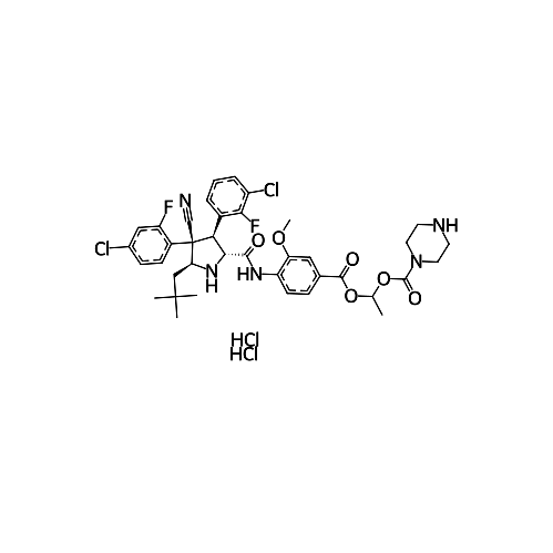 COc1cc(C(=O)OC(C)OC(=O)N2CCNCC2)ccc1NC(=O)[C@@H]1N[C@@H](CC(C)(C)C)[C@](C#N)(c2ccc(Cl)cc2F)[C@H]1c1cccc(Cl)c1F.Cl.Cl